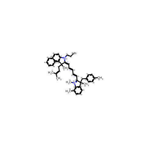 CC(C)=CCC1(C)\C(=C/C=C/C=C/C2=[N+](C)c3c(C)cccc3C2(C)Cc2ccc(C)cc2)N(CCC(C)C)c2ccc3ccccc3c21